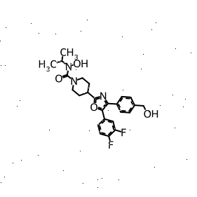 CC(C)N(O)C(=O)N1CCC(c2nc(-c3ccc(CO)cc3)c(-c3ccc(F)c(F)c3)o2)CC1